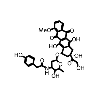 COc1cccc2c1C(=O)c1c(O)c3c(c(O)c1C2=O)C[C@@](O)(C(=O)CO)C[C@@H]3OC1CC(NC(=O)Cc2ccc(O)cc2)C(O)C(C)O1